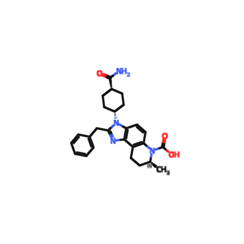 C[C@H]1CCc2c(ccc3c2nc(Cc2ccccc2)n3[C@H]2CC[C@H](C(N)=O)CC2)N1C(=O)O